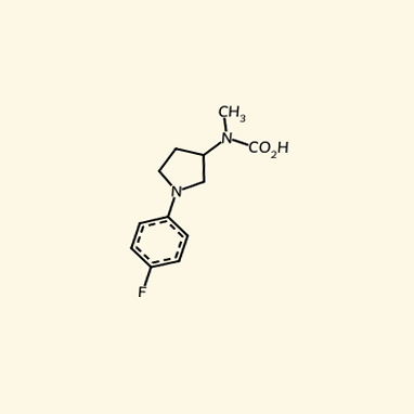 CN(C(=O)O)C1CCN(c2ccc(F)cc2)C1